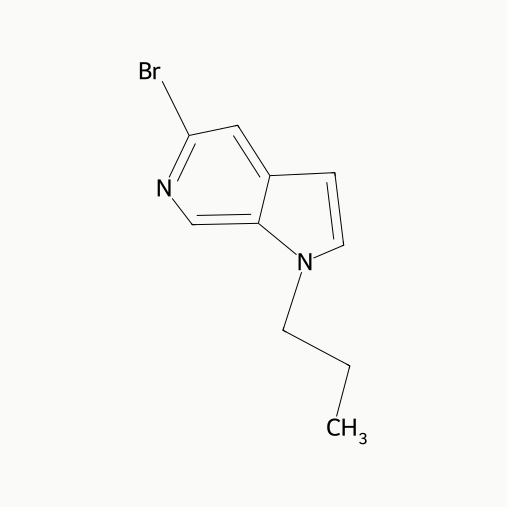 CCCn1ccc2cc(Br)ncc21